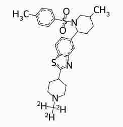 [2H]C([2H])([2H])N1CCC(c2nc3cc(C4CCC(C)CN4S(=O)(=O)c4ccc(C)cc4)ccc3s2)CC1